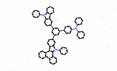 c1ccc(N(c2ccccc2)c2ccc(-c3cc(-c4ccc5c(c4)c4ccccc4n5-c4ccccc4)cc(-c4ccc5c6c7ccccc7c7ccccc7c6n(-c6ccccc6)c5c4)c3)cc2)cc1